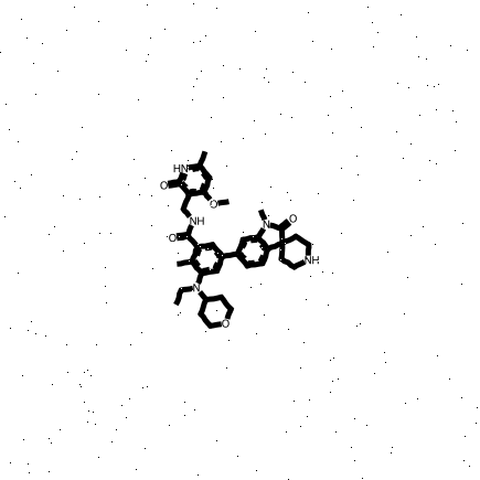 CCN(c1cc(-c2ccc3c(c2)N(C)C(=O)C32CCNCC2)cc(C(=O)NCc2c(OC)cc(C)[nH]c2=O)c1C)C1CCOCC1